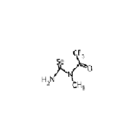 CN(C(=O)C(F)(F)F)C(N)=[Se]